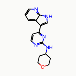 c1cnc2[nH]cc(-c3ccnc(NC4CCOCC4)n3)c2c1